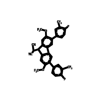 N#CC(C#N)C1c2cc(OC(F)(F)F)c(-c3ccc(F)c(C(F)(F)F)c3)cc2-c2cc(-c3ccc(F)c(C(F)(F)F)c3)c(OC(F)(F)F)cc21